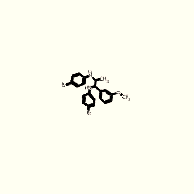 CC(Nc1ccc(Br)cc1)C(Nc1ccc(Br)cc1)c1cccc(OC(F)(F)F)c1